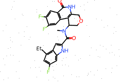 CCc1cc(F)cc2[nH]c(C(=O)N(C)C3COCc4[nH]c(=O)c5cc(F)c(F)cc5c43)cc12